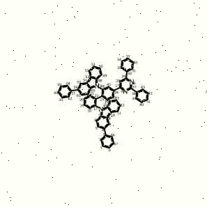 c1ccc(-c2ccc3c(c2)c2ccccc2n3-c2ccccc2-c2ccc(-c3cc(-c4ccccc4)nc(-c4ccccc4)n3)cc2-n2c3ccccc3c3cc(-c4ccccc4)ccc32)cc1